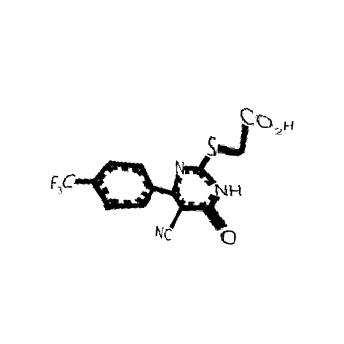 N#Cc1c(-c2ccc(C(F)(F)F)cc2)nc(SCC(=O)O)[nH]c1=O